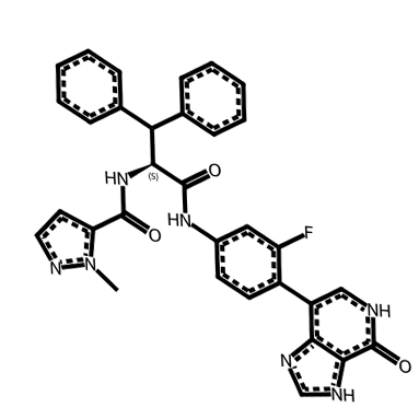 Cn1nccc1C(=O)N[C@H](C(=O)Nc1ccc(-c2c[nH]c(=O)c3[nH]cnc23)c(F)c1)C(c1ccccc1)c1ccccc1